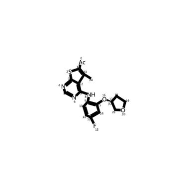 CC(=O)c1sc2ncnc(Nc3ccc(F)cc3O[C@H]3CCOC3)c2c1C